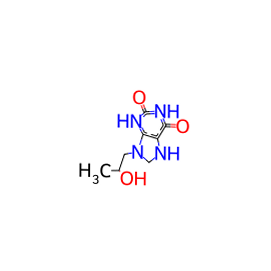 CC(O)CN1CNc2c1[nH]c(=O)[nH]c2=O